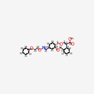 CO/C=C(/C(=O)OC)c1ccccc1COc1cccc(/C=N/OCCOc2ccccc2)c1